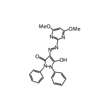 COc1cc(OC)nc(N=Nc2c(O)n(-c3ccccc3)n(-c3ccccc3)c2=O)n1